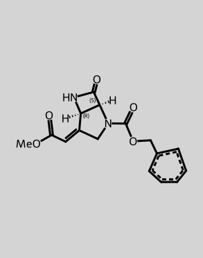 COC(=O)C=C1CN(C(=O)OCc2ccccc2)[C@@H]2C(=O)N[C@H]12